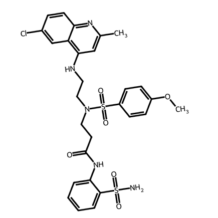 COc1ccc(S(=O)(=O)N(CCNc2cc(C)nc3ccc(Cl)cc23)CCC(=O)Nc2ccccc2S(N)(=O)=O)cc1